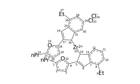 CCCc1ccc(C2=Cc3c(CC)cccc3[CH]2[Zr+2][CH]2C(c3ccc(CCC)o3)=Cc3c(CC)cccc32)o1.[Cl-].[Cl-]